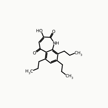 CCCc1cc(CCC)c2c(=O)cc(O)c(=O)[nH]c2c1CCC